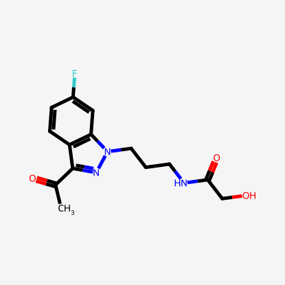 CC(=O)c1nn(CCCNC(=O)CO)c2cc(F)ccc12